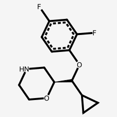 Fc1ccc(OC(C2CC2)[C@@H]2CNCCO2)c(F)c1